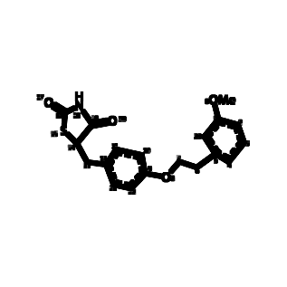 COc1cccc(CCOc2ccc(CC3SC(=O)NC3=O)cc2)c1